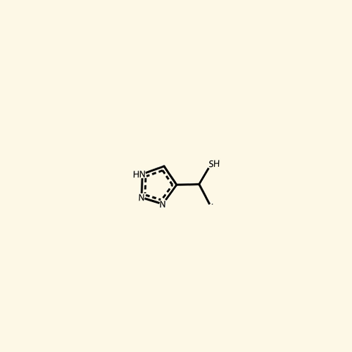 [CH2]C(S)c1c[nH]nn1